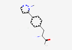 COC(=O)[C@@H](N)Cc1ccc(-c2ccnn2C)cc1.Cl.Cl